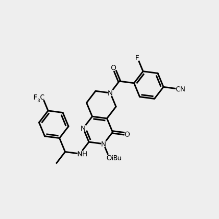 CC(C)COn1c(NC(C)c2ccc(C(F)(F)F)cc2)nc2c(c1=O)CN(C(=O)c1ccc(C#N)cc1F)CC2